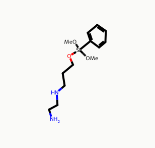 CO[Si](OC)(OCCCNCCN)c1ccccc1